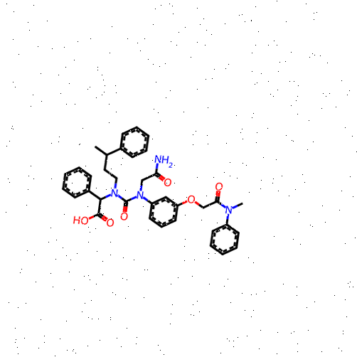 CC(CCN(C(=O)N(CC(N)=O)c1cccc(OCC(=O)N(C)c2ccccc2)c1)C(C(=O)O)c1ccccc1)c1ccccc1